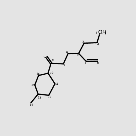 C=CC(CCO)CCC(=C)C1CCC(C)CC1